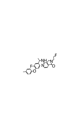 Cc1ccc(Oc2ccc(C(C)Nc3nccc4c3CN(CCF)C4=O)cc2F)cc1